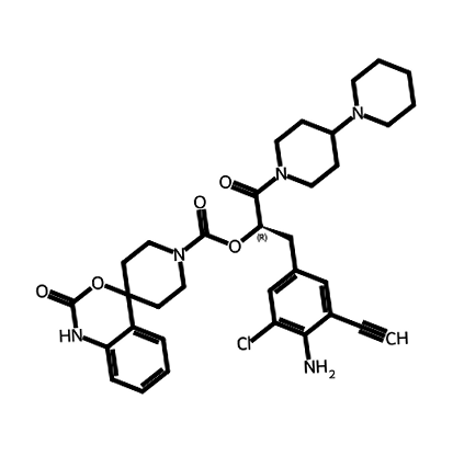 C#Cc1cc(C[C@@H](OC(=O)N2CCC3(CC2)OC(=O)Nc2ccccc23)C(=O)N2CCC(N3CCCCC3)CC2)cc(Cl)c1N